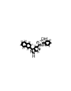 O=C(N[C@H](CO)c1ccccc1)c1cc2c(-c3ccc4ccccc4c3)n[nH]c2cn1